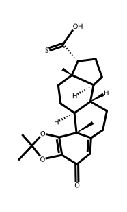 CC1(C)OC2=C(O1)[C@@]1(C)C(=CC2=O)CC[C@@H]2[C@@H]1CC[C@]1(C)[C@H](C(O)=S)CC[C@@H]21